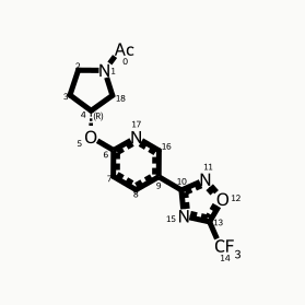 CC(=O)N1CC[C@@H](Oc2ccc(-c3noc(C(F)(F)F)n3)cn2)C1